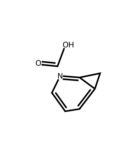 O=CO.c1cnc2c(c1)C2